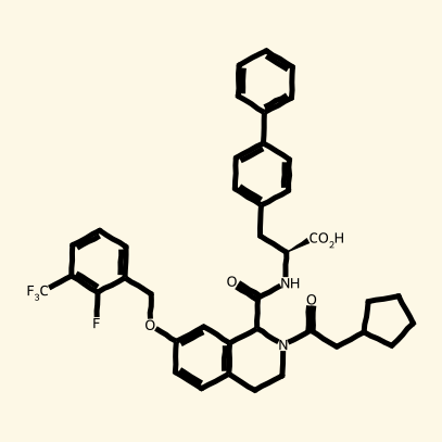 O=C(N[C@@H](Cc1ccc(-c2ccccc2)cc1)C(=O)O)C1c2cc(OCc3cccc(C(F)(F)F)c3F)ccc2CCN1C(=O)CC1CCCC1